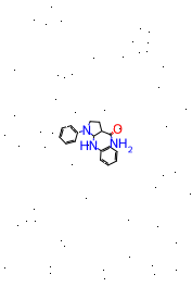 NC(=O)C1CCN(c2ccccc2)C1Nc1ccccc1